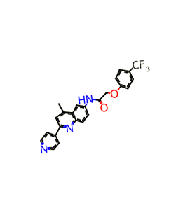 Cc1cc(-c2ccncc2)nc2ccc(NC(=O)COc3ccc(C(F)(F)F)cc3)cc12